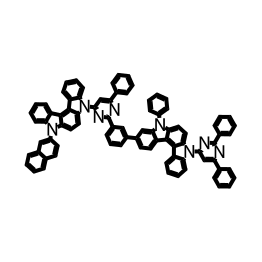 c1ccc(-c2cc(-n3c4ccccc4c4c5c6ccccc6n(-c6ccc7ccccc7c6)c5ccc43)nc(-c3cccc(-c4ccc5c6c7c8ccccc8n(-c8cc(-c9ccccc9)nc(-c9ccccc9)n8)c7ccc6n(-c6ccccc6)c5c4)c3)n2)cc1